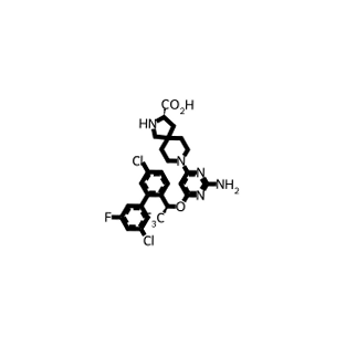 Nc1nc(O[C@H](c2ccc(Cl)cc2-c2cc(F)cc(Cl)c2)C(F)(F)F)cc(N2CCC3(CC2)CN[C@H](C(=O)O)C3)n1